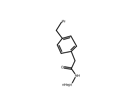 CCCCCCCNC(=O)Cc1ccc(CC(C)C)cc1